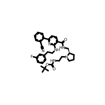 CC(C)(C)OC(=O)NCCN1CCC[C@@H]1CNC(=O)c1ccc(-c2ccccc2C#N)nc1NCCc1cccc(F)c1